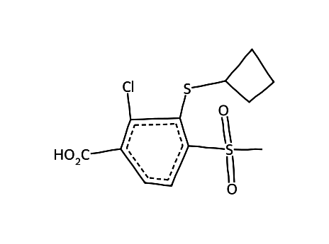 CS(=O)(=O)c1ccc(C(=O)O)c(Cl)c1SC1CCC1